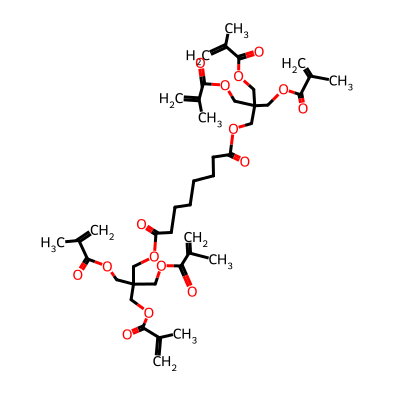 C=C(C)C(=O)OCC(COC(=O)CCCCCCC(=O)OCC(COC(=O)C(=C)C)(COC(=O)C(=C)C)COC(=O)C(=C)C)(COC(=O)C(=C)C)COC(=O)C(=C)C